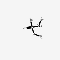 CCOP(=O)(S)NC(C)C